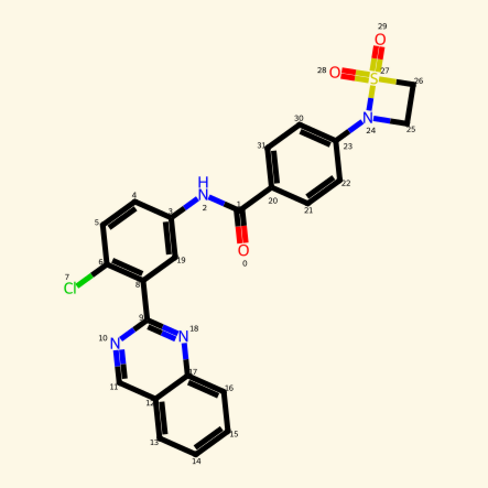 O=C(Nc1ccc(Cl)c(-c2ncc3ccccc3n2)c1)c1ccc(N2CCS2(=O)=O)cc1